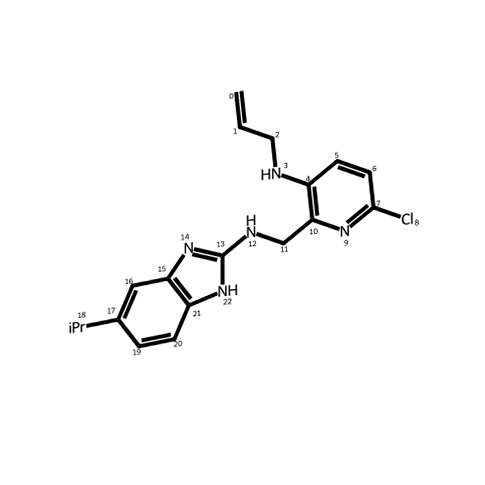 C=CCNc1ccc(Cl)nc1CNc1nc2cc(C(C)C)ccc2[nH]1